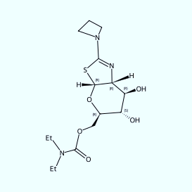 CCN(CC)C(=O)OC[C@H]1O[C@@H]2SC(N3CCC3)=N[C@@H]2[C@@H](O)[C@@H]1O